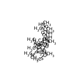 CCCC(=O)N(C)[C@H](SCCN(C)C)C(=O)N(C)[C@@H](CC(C)(C)OCSC)C(=O)N[C@@]1(C(=O)N(C)C(=O)NC(=O)N[C@@H](C)C(=O)N(C)C(=O)NC)C(C)C1(C)C